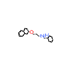 c1ccc(CNCCCOc2ccc3ccccc3c2)cc1